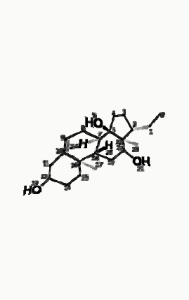 CC[C@H]1CC[C@@]2(O)[C@@H]3CC=C4CC(O)CC[C@]4(C)[C@H]3CC(O)[C@]12C